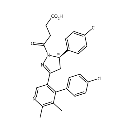 Cc1ncc(C2=NN(C(=O)CCC(=O)O)[C@@H](c3ccc(Cl)cc3)C2)c(-c2ccc(Cl)cc2)c1C